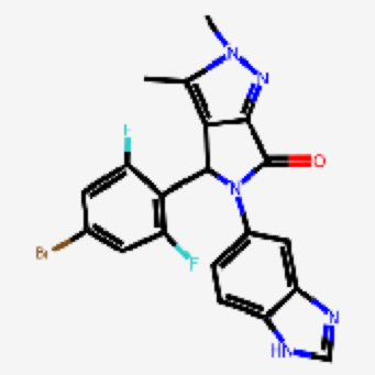 Cc1c2c(nn1C)C(=O)N(c1ccc3[nH]cnc3c1)C2c1c(F)cc(Br)cc1F